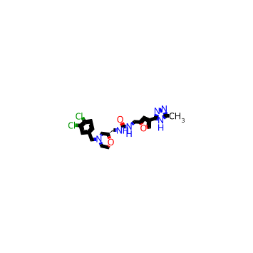 Cc1nnc(-c2coc(CNC(=O)NC[C@H]3CN(Cc4ccc(Cl)c(Cl)c4)CCO3)c2)[nH]1